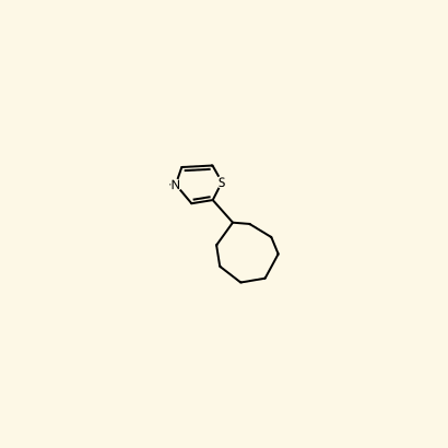 C1=CSC(C2CCCCCCC2)=C[N]1